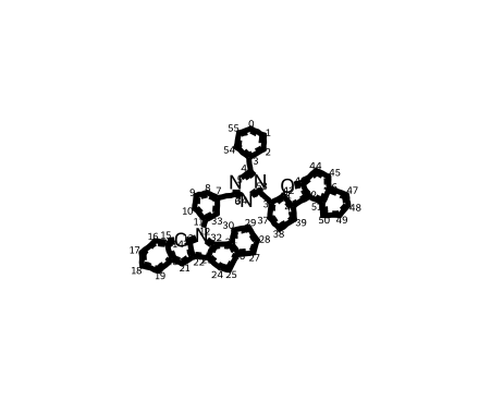 c1ccc(-c2nc(-c3cccc(-n4c5cc6ccccc6cc5c5ccc6ccccc6c54)c3)nc(-c3cccc4c3oc3ccc5ccccc5c34)n2)cc1